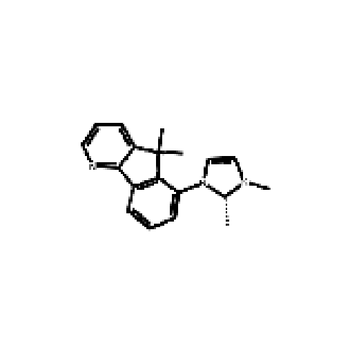 C[C@H]1N(C)C=CN1c1cccc2c1C(C)(C)c1cccnc1-2